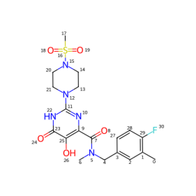 Cc1cc(CN(C)C(=O)c2nc(N3CCN(S(C)(=O)=O)CC3)[nH]c(=O)c2O)ccc1F